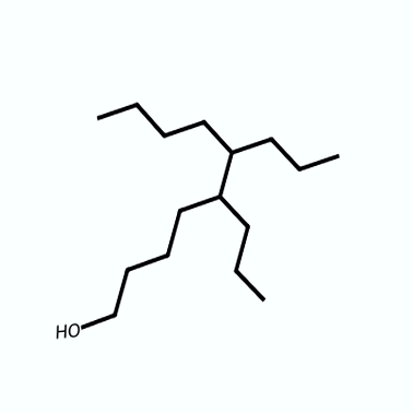 CCCCC(CCC)C(CCC)CCCCO